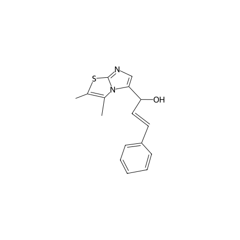 Cc1sc2ncc(C(O)C=Cc3ccccc3)n2c1C